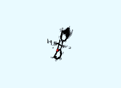 CC(C)(N)C(N)(c1ccccc1)c1ccccc1